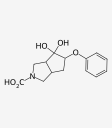 O=C(O)N1CC2CC(Oc3ccccc3)C(O)(O)C2C1